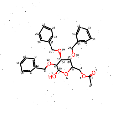 CC(=O)OCC1O[C@@H](O)C(OCc2ccccc2)[C@@H](OCc2ccccc2)[C@@H]1OCc1ccccc1